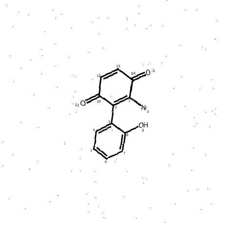 [N]C1=C(c2ccccc2O)C(=O)C=CC1=O